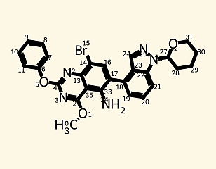 COc1nc(Oc2ccccc2)nc2c(Br)cc(-c3cccc4c3cnn4C3CCCCO3)c(N)c12